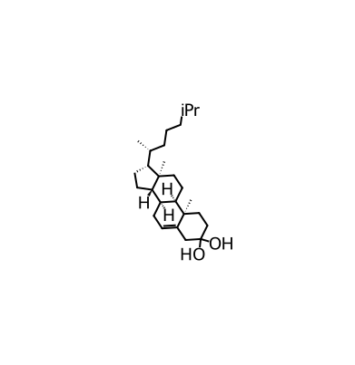 CC(C)CCC[C@@H](C)[C@H]1CC[C@H]2[C@@H]3CC=C4CC(O)(O)CC[C@]4(C)[C@@H]3CC[C@]12C